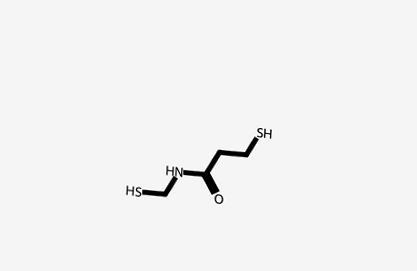 O=C(CCS)NCS